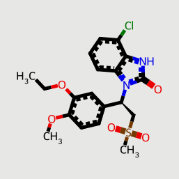 CCOc1cc([C@H](CS(C)(=O)=O)n2c(=O)[nH]c3c(Cl)cccc32)ccc1OC